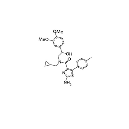 COc1ccc(C(O)CN(CC2CC2)C(=O)c2nc(N)sc2-c2ccc(C)cc2)cc1OC